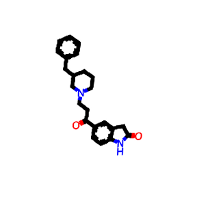 O=C1Cc2cc(C(=O)CCN3CCCC(Cc4ccccc4)C3)ccc2N1